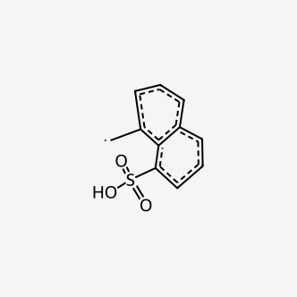 [CH2]c1cccc2cccc(S(=O)(=O)O)c12